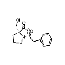 O=C(Cc1ccccc1)N1CCC[C@@]1(CO)C(=O)O